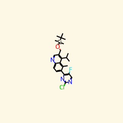 Cc1c(-c2nc(Cl)ncc2F)ccc2ncc(CO[Si](C)(C)C(C)(C)C)c(C(C)C)c12